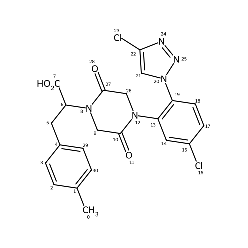 Cc1ccc(CC(C(=O)O)N2CC(=O)N(c3cc(Cl)ccc3-n3cc(Cl)nn3)CC2=O)cc1